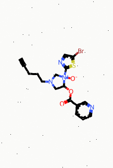 C#CCCCN1CC(OC(=O)c2cccnc2)[N+]([O-])(c2ncc(Br)s2)C1